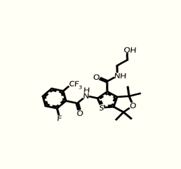 CC1(C)OC(C)(C)c2c1sc(NC(=O)c1c(F)cccc1C(F)(F)F)c2C(=O)NCCO